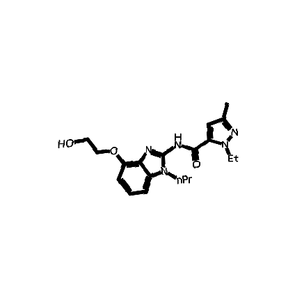 CCCn1c(NC(=O)c2cc(C)nn2CC)nc2c(OCCO)cccc21